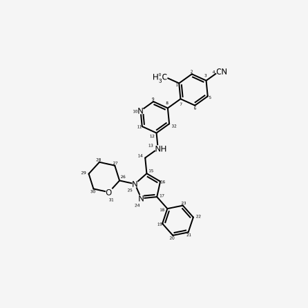 Cc1cc(C#N)ccc1-c1cncc(NCc2cc(-c3ccccc3)nn2C2CCCCO2)c1